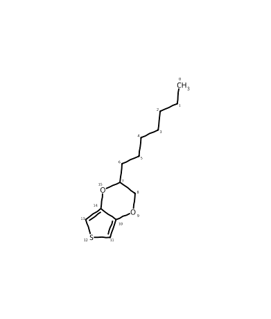 CCCCCCCC1COc2cscc2O1